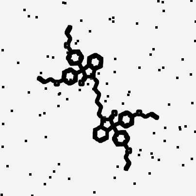 C=CCOc1ccc(C2(c3ccc(OCC=C)cc3)C(=O)N(CCCCCCN3C(=O)C(c4ccc(OCC=C)cc4)(c4ccc(OCC=C)cc4)C4C=CC=CC43)c3ccccc32)cc1